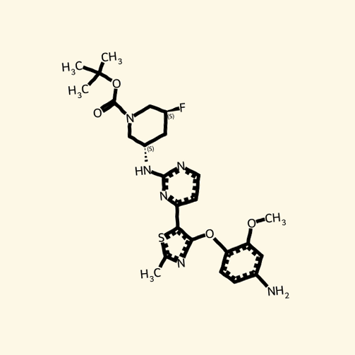 COc1cc(N)ccc1Oc1nc(C)sc1-c1ccnc(N[C@H]2C[C@H](F)CN(C(=O)OC(C)(C)C)C2)n1